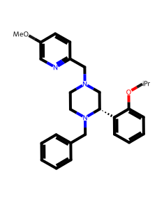 COc1ccc(CN2CCN(Cc3ccccc3)[C@@H](c3ccccc3OC(C)C)C2)nc1